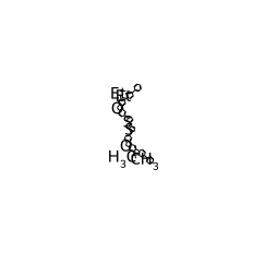 CCc1cc(-c2ccccc2)ccc1-c1cc2c(cc1CC)oc1ccc(-c3ccc(-c4ccc(-c5ccc6oc7cc8c(cc7c6c5)-c5ccc(-c6ccccc6)cc5C8(C)C)s4)s3)cc12